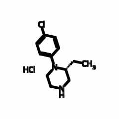 CC[C@@H]1CNCCN1c1ccc(Cl)cc1.Cl